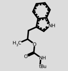 CC(Cc1c[nH]c2ccccc12)OC(=O)NC(C)(C)C